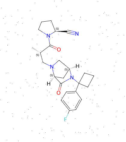 C[C@@H](CN1C[C@@H]2C[C@H]1C(=O)N2C1(c2ccc(F)cc2)CCC1)C(=O)N1CCC[C@H]1C#N